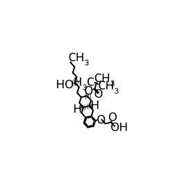 CCCCC[C@H](O)CCC1C[C@H]2Cc3cccc(OCC(=O)O)c3C[C@H]2C[C@H]1OC(=O)C(C)(C)C